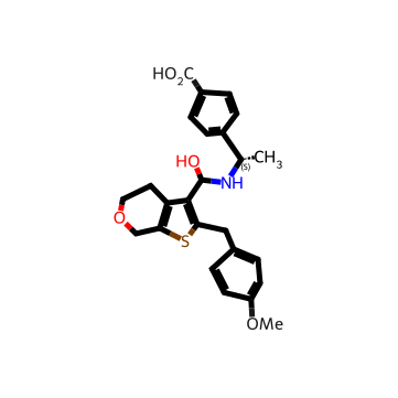 COc1ccc(Cc2sc3c(c2C(O)N[C@@H](C)c2ccc(C(=O)O)cc2)CCOC3)cc1